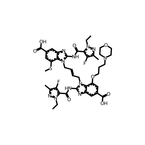 CCn1nc(C)c(F)c1C(=O)Nc1nc2cc(C(=O)O)cc(OCCCN3CCOCC3)c2n1C/C=C/Cn1c(NC(=O)c2c(F)c(C)nn2CC)nc2cc(C(=O)O)cc(SC)c21